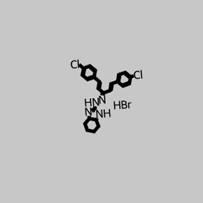 Br.Clc1ccc(C=CC(C=Cc2ccc(Cl)cc2)=NNC2=NC3CCCCC3N2)cc1